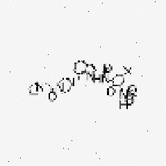 COc1c(NC(=O)c2cc3cccc(CN4CCN(C(=O)CN5CCCC5)CC4)c3n2C)cc(C(C)(C)C)cc1NS(C)(=O)=O